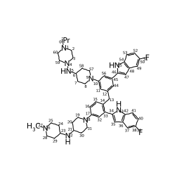 CC(C)N1CCN(NC2CCN(c3cc(Cc4ccc(N5CCC(NC6CCN(C)CC6)CC5)cc4-c4cc5cc(F)ccc5[nH]4)cc(-c4cc5cc(F)ccc5[nH]4)c3)CC2)CC1